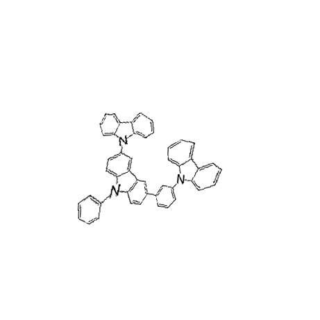 c1ccc(-n2c3ccc(-c4cccc(-n5c6ccccc6c6ccccc65)c4)cc3c3cc(-n4c5ccccc5c5ccccc54)ccc32)cc1